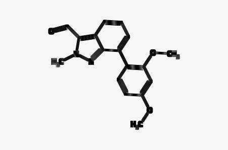 COc1ccc(-c2cccc3c(C=O)n(C)nc23)c(OC)c1